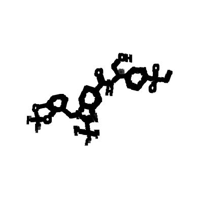 CCS(=O)(=O)c1ccc([C@H](CO)NC(=O)c2ccc3c(c2)nc(C(F)(F)F)n3Cc2cccc3c2OC(F)(F)O3)cc1